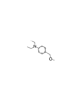 CCN(CC)c1ccc(COC)cc1